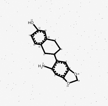 Nc1cc2c(cc1C1CCc3cc(O)ccc3C1)OCO2